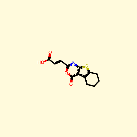 O=C(O)/C=C/c1nc2sc3c(c2c(=O)o1)CCCC3